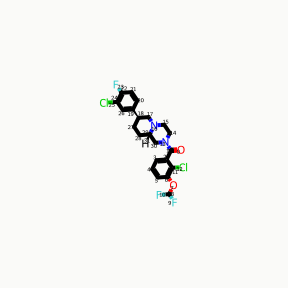 O=C(c1cccc(OC(F)F)c1Cl)N1CCN2C[C@H](c3ccc(F)c(Cl)c3)CC[C@H]2C1